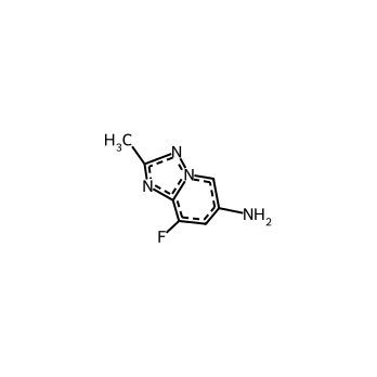 Cc1nc2c(F)cc(N)cn2n1